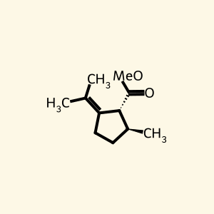 COC(=O)[C@H]1C(=C(C)C)CC[C@@H]1C